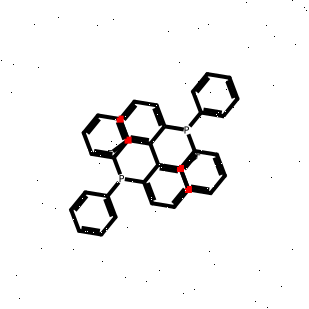 Fc1cccc(P(c2ccccc2)c2ccccc2)c1-c1c(F)cccc1P(c1ccccc1)c1ccccc1